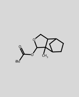 CCC(C)C(=O)OC1OCC2C3CCC(C3)C12C